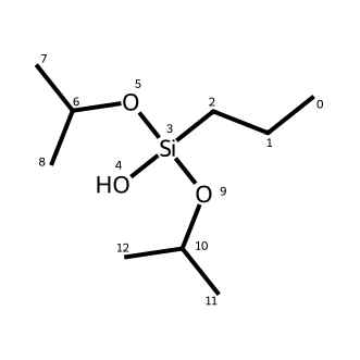 CCC[Si](O)(OC(C)C)OC(C)C